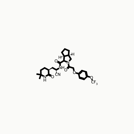 CC1(C)CC[C@@H](C[C@@H](C#N)NC(=O)C2[C@H]3CCC[C@H]3CN2C(=O)COc2ccc(OC(F)(F)F)cc2)C(=O)N1